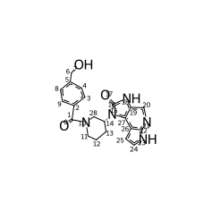 O=C(c1ccc(CO)cc1)N1CCC[C@@H](n2c(=O)[nH]c3cnc4[nH]ccc4c32)C1